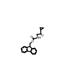 O=C(NCC(=O)C1CC1)OCC1c2ccccc2-c2ccccc21